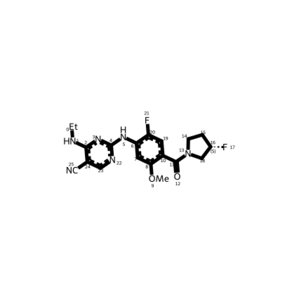 CCNc1nc(Nc2cc(OC)c(C(=O)N3CC[C@H](F)C3)cc2F)ncc1C#N